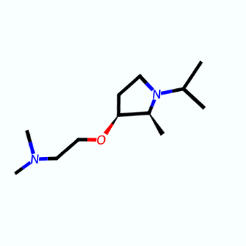 CC(C)N1CC[C@H](OCCN(C)C)[C@@H]1C